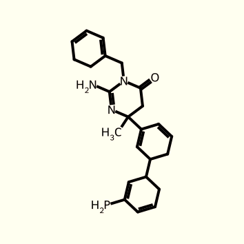 CC1(C2=CC(C3C=C(P)C=CC3)CC=C2)CC(=O)N(CC2=CC=CCC2)C(N)=N1